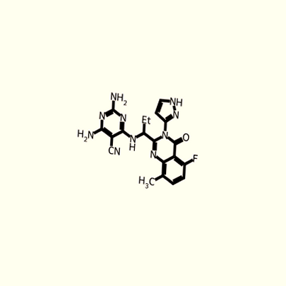 CCC(Nc1nc(N)nc(N)c1C#N)c1nc2c(C)ccc(F)c2c(=O)n1-c1cc[nH]n1